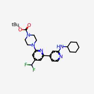 CC(C)(C)OC(=O)N1CCN(c2cc(C(F)F)cc(-c3ccnc(NC4CCCCC4)c3)n2)CC1